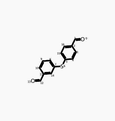 O=Cc1ccc(Sc2cccc(C=O)c2)cc1